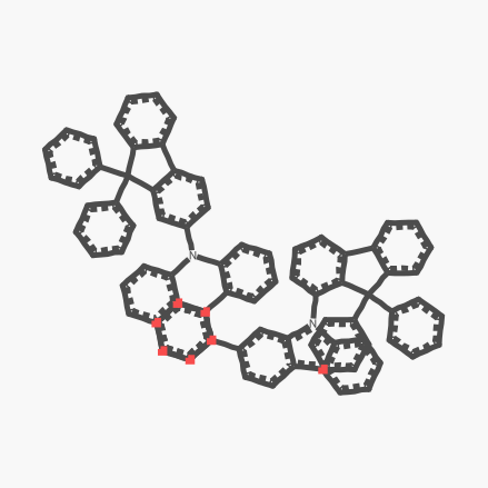 c1ccc(C2(c3ccccc3)c3ccccc3-c3ccc(N(c4ccccc4-c4ccccc4-c4ccc5c6ccccc6n(-c6cccc7c6C(c6ccccc6)(c6ccccc6)c6ccccc6-7)c5c4)c4cccc5ccccc45)cc32)cc1